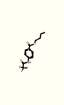 CCCCOC(=O)c1ccc(NC(=O)C(F)(F)F)cc1